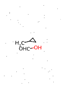 CC1CC1.O=CO